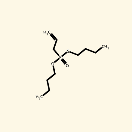 C=CCP(=O)(OCCCC)SCCCC